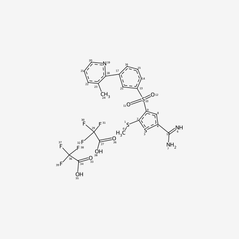 CSc1sc(C(=N)N)cc1S(=O)(=O)c1cccc(-c2ncccc2C)c1.O=C(O)C(F)(F)F.O=C(O)C(F)(F)F